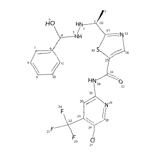 C[C@H](NNC(O)c1ccccc1)c1ncc(C(=O)Nc2cc(C(F)(F)F)c(Cl)cn2)s1